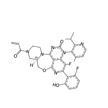 C=CC(=O)N1CCN2c3nc(=O)n(-c4c(C)ccnc4C(C)C)c4c(F)c(-c5c(O)cccc5F)nc(c34)OC[C@H]2C1